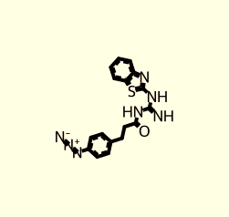 [N-]=[N+]=Nc1ccc(CCC(=O)NC(=N)Nc2nc3ccccc3s2)cc1